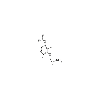 Cc1ccc(OC(F)F)c(C)c1OCC(C)N